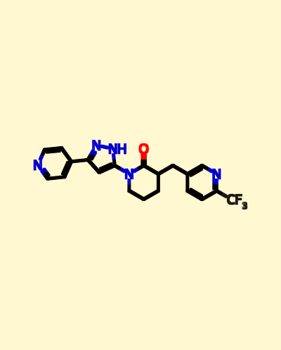 O=C1C(Cc2ccc(C(F)(F)F)nc2)CCCN1c1cc(-c2ccncc2)n[nH]1